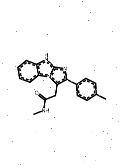 CNC(=O)Cc1c(-c2ccc(C)cc2)nc2[nH]c3ccccc3n12